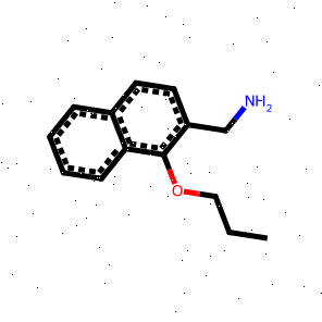 CCCOc1c(CN)ccc2ccccc12